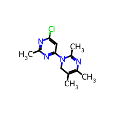 CC1=NC(C)=C(C)CN1c1cc(Cl)nc(C)n1